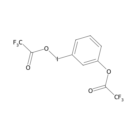 O=C(O[I]c1cccc(OC(=O)C(F)(F)F)c1)C(F)(F)F